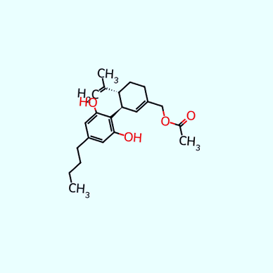 C=C(C)[C@@H]1CCC(COC(C)=O)=C[C@H]1c1c(O)cc(CCCC)cc1O